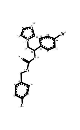 S=C(OCc1ccc(Cl)cc1)SC(Cn1ccnc1)c1ccc(Br)cc1